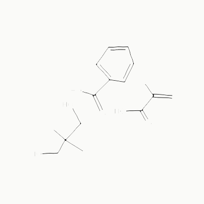 C=C(C)C(=O)O.CC(C)(CO)CO.O=C(O)c1ccccc1